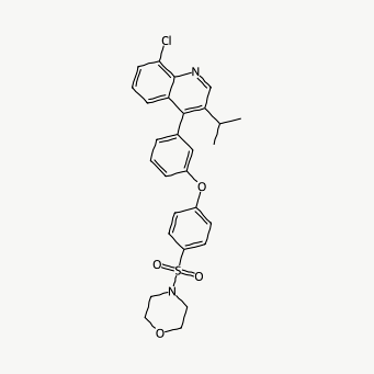 CC(C)c1cnc2c(Cl)cccc2c1-c1cccc(Oc2ccc(S(=O)(=O)N3CCOCC3)cc2)c1